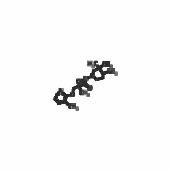 Cc1cccnc1OCC(C)(C)C(=O)ON1CCC(N)C(C)(C)C1